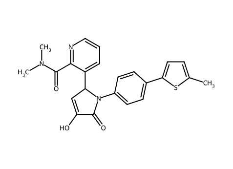 Cc1ccc(-c2ccc(N3C(=O)C(O)=CC3c3cccnc3C(=O)N(C)C)cc2)s1